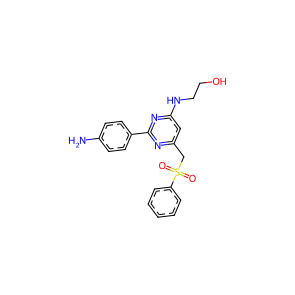 Nc1ccc(-c2nc(CS(=O)(=O)c3ccccc3)cc(NCCO)n2)cc1